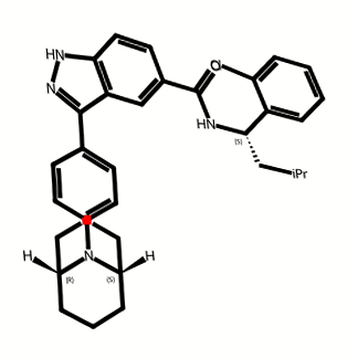 CC(C)C[C@H](NC(=O)c1ccc2[nH]nc(-c3ccc(N4[C@@H]5CCC[C@H]4COC5)cc3)c2c1)c1ccccc1Cl